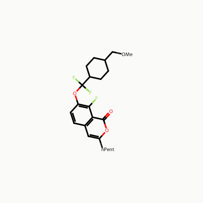 CCCCCc1cc2ccc(OC(F)(F)C3CCC(COC)CC3)c(F)c2c(=O)o1